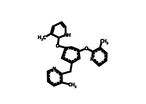 CC1=CC=CNC1Oc1cc(Cc2ncccc2C)cc(Oc2ncccc2C)c1